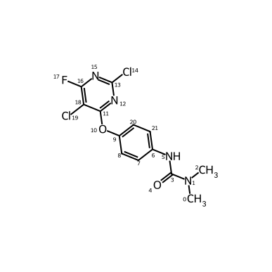 CN(C)C(=O)Nc1ccc(Oc2nc(Cl)nc(F)c2Cl)cc1